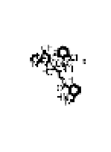 CCCC(NC1=NCCN1)OC(=O)C(CNC(=O)c1cccc2cn[nH]c12)NS(=O)(=O)c1c(C)cccc1C